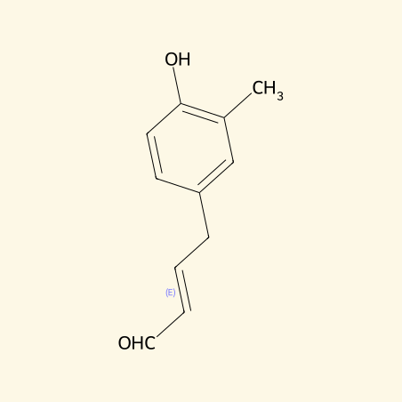 Cc1cc(C/C=C/C=O)ccc1O